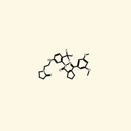 COc1cc(OC)cc(-c2nn(-c3cc(NCCN4CCCC4=O)ccc3C(F)(F)F)c(=O)c3c2CCC3)c1